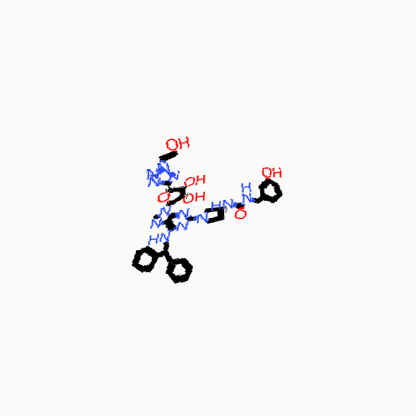 O=C(NCc1cccc(O)c1)N[C@@H]1CCN(c2nc(NCC(c3ccccc3)c3ccccc3)c3ncn([C@@H]4O[C@H](c5nnn(CCO)n5)[C@@H](O)[C@@H]4O)c3n2)C1